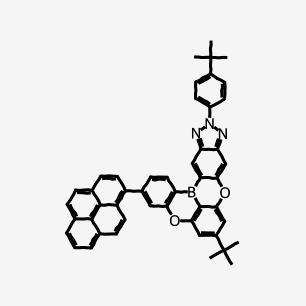 CC(C)(C)c1ccc(-n2nc3cc4c(cc3n2)B2c3ccc(-c5ccc6ccc7cccc8ccc5c6c78)cc3Oc3cc(C(C)(C)C)cc(c32)O4)cc1